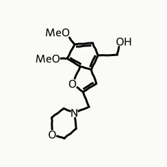 COc1cc(CO)c2cc(CN3CCOCC3)oc2c1OC